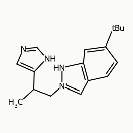 CC(C[n+]1cc2ccc(C(C)(C)C)cc2[nH]1)c1cnc[nH]1